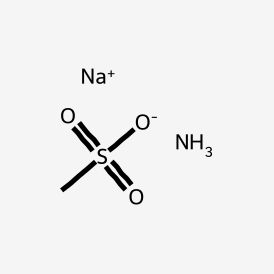 CS(=O)(=O)[O-].N.[Na+]